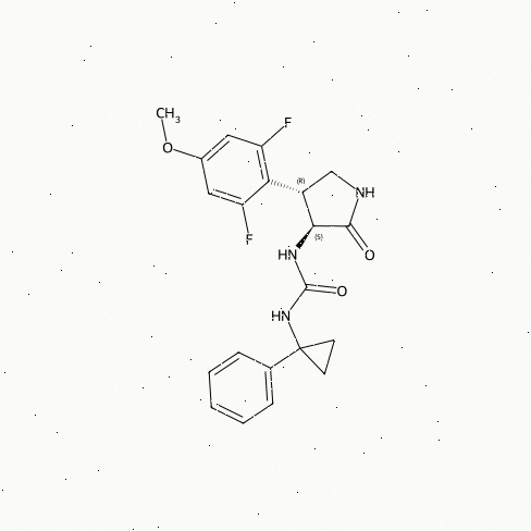 COc1cc(F)c([C@@H]2CNC(=O)[C@H]2NC(=O)NC2(c3ccccc3)CC2)c(F)c1